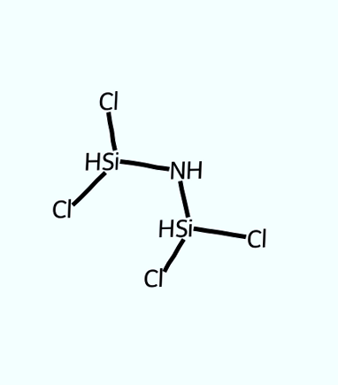 Cl[SiH](Cl)N[SiH](Cl)Cl